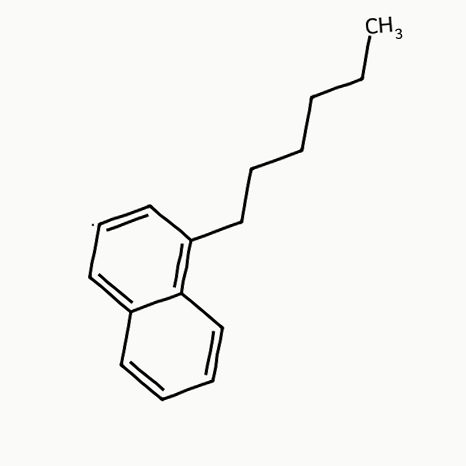 CCCCCCc1c[c]cc2ccccc12